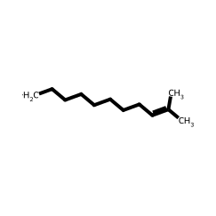 [CH2]CCCCCCCC=C(C)C